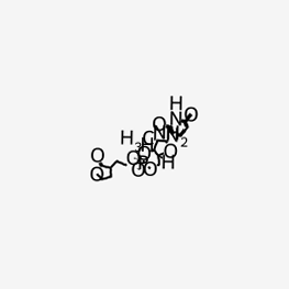 C[C@@]1(N)[C@@H]2O[P@@](=O)(OCCC3CCOC3=O)OC[C@H]2O[C@H]1n1ccc(=O)[nH]c1=O